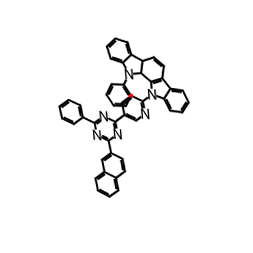 C1=CC2c3ccccc3N(c3ccccc3)C2c2c1c1ccccc1n2-c1ccc(-c2nc(-c3ccccc3)nc(-c3ccc4ccccc4c3)n2)cn1